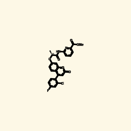 COC(=O)c1cccc(NC(=O)[C@@H](C)Oc2ccc3c(-c4ccc(F)cc4Cl)cc(=O)oc3c2)n1